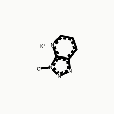 [K+].[O-]n1nnc2cccnc21